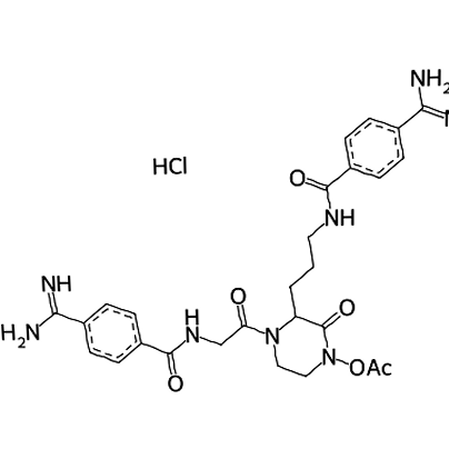 CC(=O)ON1CCN(C(=O)CNC(=O)c2ccc(C(=N)N)cc2)C(CCCNC(=O)c2ccc(C(=N)N)cc2)C1=O.Cl